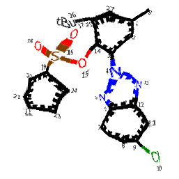 Cc1cc(-n2nc3ccc(Cl)cc3n2)c(OS(=O)(=O)c2ccccc2)c(C(C)(C)C)c1